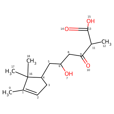 CC1=CCC(CC(O)CC(=O)C(C)C(=O)O)C1(C)C